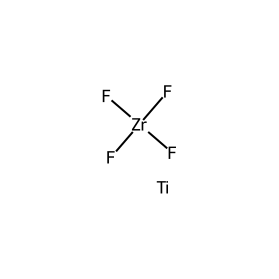 [F][Zr]([F])([F])[F].[Ti]